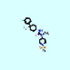 CCS(=O)(=O)N1CCC(N(C)C(=O)N[C@H]2CC[C@@](C)(c3cccc(F)c3)CC2)CC1